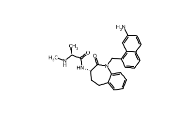 CN[C@@H](C)C(=O)N[C@H]1CCc2ccccc2N(Cc2cccc3ccc(N)cc23)C1=O